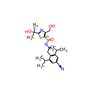 CC(C)c1cc(C#N)cc(C(C)C)c1CC(=O)N=[SH](=O)c1sc(C(C)(C)O)nc1CO